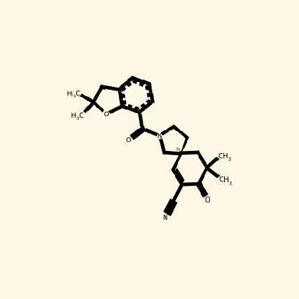 CC1(C)Cc2cccc(C(=O)N3CC[C@@]4(C=C(C#N)C(=O)C(C)(C)C4)C3)c2O1